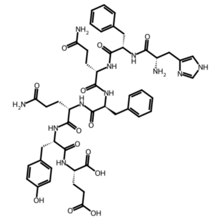 NC(=O)CC[C@H](NC(=O)[C@H](Cc1ccccc1)NC(=O)[C@H](CCC(N)=O)NC(=O)[C@H](Cc1ccccc1)NC(=O)[C@@H](N)Cc1c[nH]cn1)C(=O)N[C@@H](Cc1ccc(O)cc1)C(=O)N[C@@H](CCC(=O)O)C(=O)O